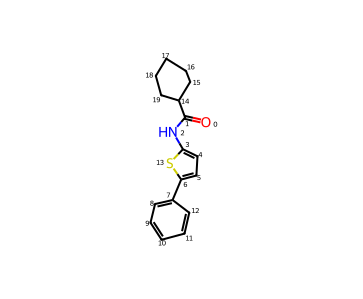 O=C(Nc1ccc(-c2ccccc2)s1)C1CCCCC1